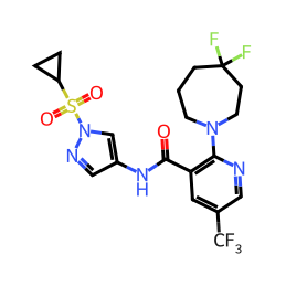 O=C(Nc1cnn(S(=O)(=O)C2CC2)c1)c1cc(C(F)(F)F)cnc1N1CCCC(F)(F)CC1